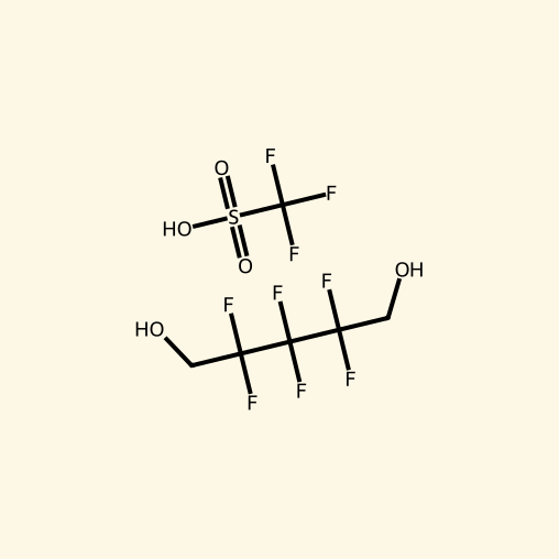 O=S(=O)(O)C(F)(F)F.OCC(F)(F)C(F)(F)C(F)(F)CO